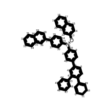 C1=CC(c2ccc(-c3ccc(N(Oc4ccc5ccccc5c4)c4ccc(-c5ccc6ccccc6c5)cc4)cc3)cc2-c2ccccc2)=CCC1